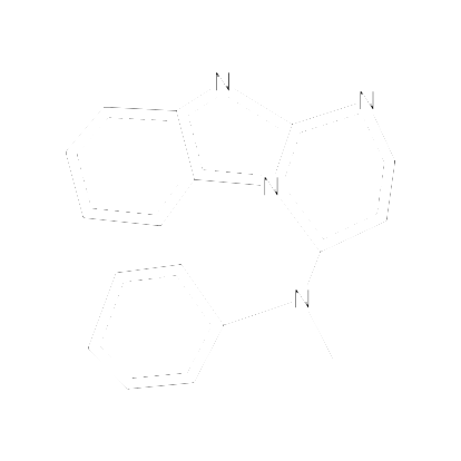 CN(c1ccccc1)c1ccnc2nc3ccccc3n12